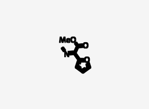 CN=C(C(=O)OC)c1ccco1